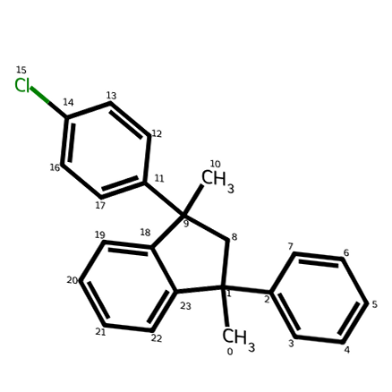 CC1(c2ccccc2)CC(C)(c2ccc(Cl)cc2)c2ccccc21